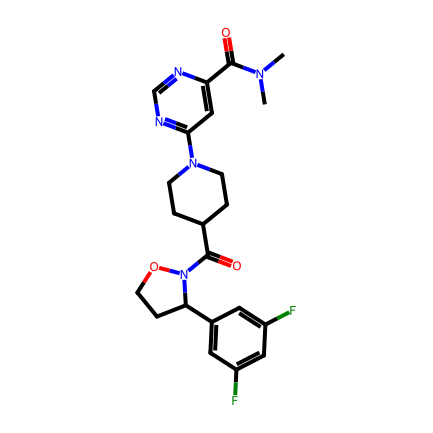 CN(C)C(=O)c1cc(N2CCC(C(=O)N3OCCC3c3cc(F)cc(F)c3)CC2)ncn1